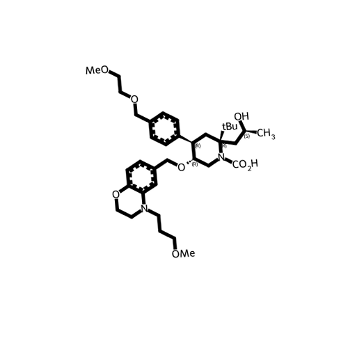 COCCCN1CCOc2ccc(CO[C@H]3CN(C(=O)O)[C@](C[C@H](C)O)(C(C)(C)C)C[C@@H]3c3ccc(COCCOC)cc3)cc21